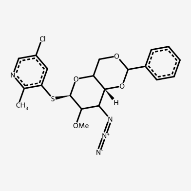 COC1C(N=[N+]=[N-])[C@H]2OC(c3ccccc3)OCC2O[C@@H]1Sc1cc(Cl)cnc1C